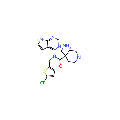 NCC1(C(=O)N(Cc2ccc(Cl)s2)c2ncnc3[nH]ccc23)CCNCC1